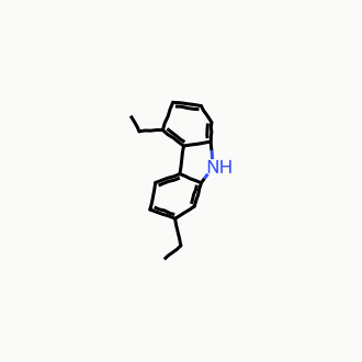 CCc1ccc2c(c1)[nH]c1cccc(CC)c12